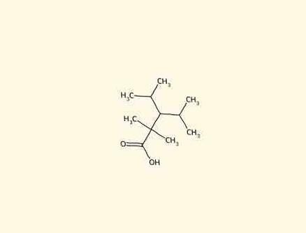 CC(C)C(C(C)C)C(C)(C)C(=O)O